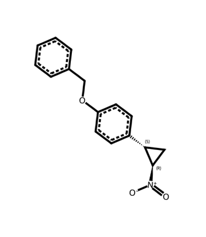 O=[N+]([O-])[C@@H]1C[C@H]1c1ccc(OCc2ccccc2)cc1